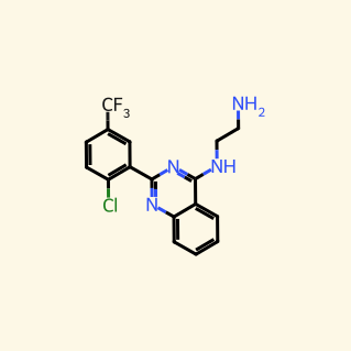 NCCNc1nc(-c2cc(C(F)(F)F)ccc2Cl)nc2ccccc12